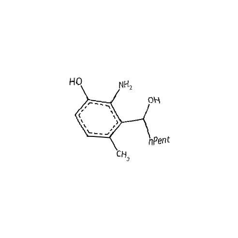 CCCCCC(O)c1c(C)ccc(O)c1N